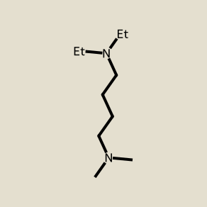 CCN(CC)CCCCN(C)C